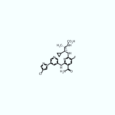 C[C@H](NC(=O)O)[C@@H](Nc1nc(Nc2cncc(-n3cc(Cl)cn3)c2)c(C(N)=O)cc1F)C1CC1